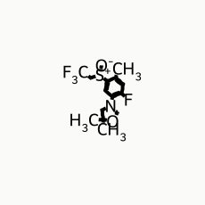 Cc1cc(F)c(N2COC(C)(C)C2)cc1[S+]([O-])CC(F)(F)F